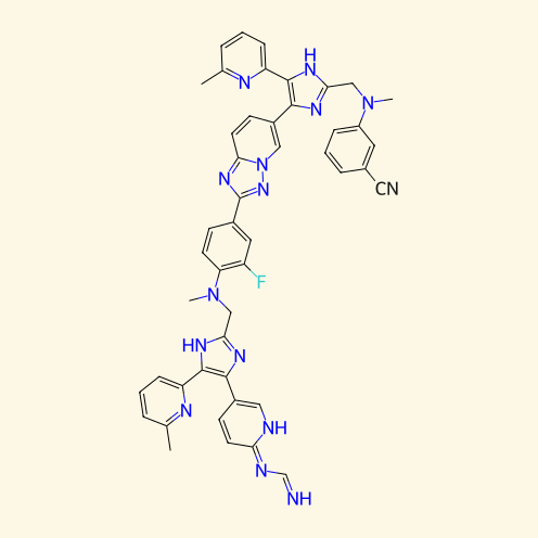 Cc1cccc(-c2[nH]c(CN(C)c3cccc(C#N)c3)nc2-c2ccc3nc(-c4ccc(N(C)Cc5nc(-c6cc/c(=N/C=N)[nH]c6)c(-c6cccc(C)n6)[nH]5)c(F)c4)nn3c2)n1